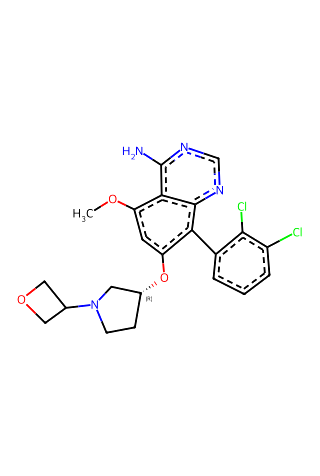 COc1cc(O[C@@H]2CCN(C3COC3)C2)c(-c2cccc(Cl)c2Cl)c2ncnc(N)c12